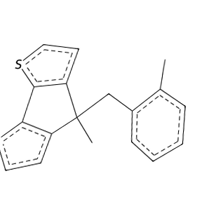 Cc1ccccc1CC1(C)c2ccsc2-c2sccc21